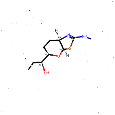 CC[C@H](O)[C@H]1CC[C@H]2N=C(NC)S[C@H]2O1